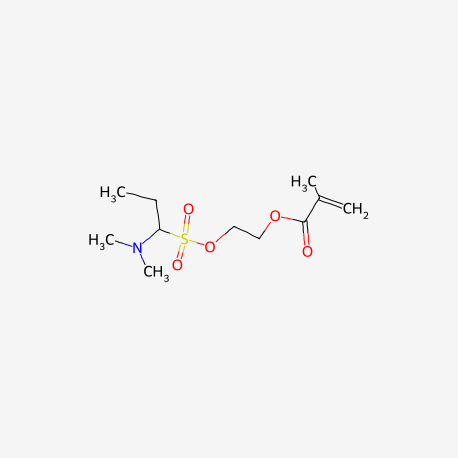 C=C(C)C(=O)OCCOS(=O)(=O)C(CC)N(C)C